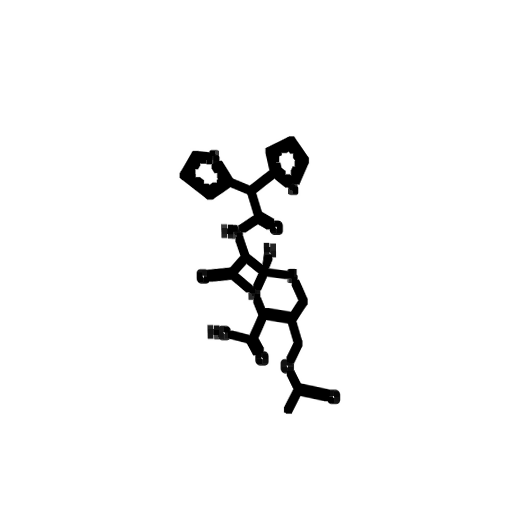 CC(=O)OCC1=C(C(=O)O)N2C(=O)C(NC(=O)C(c3cccs3)c3cccs3)[C@@H]2SC1